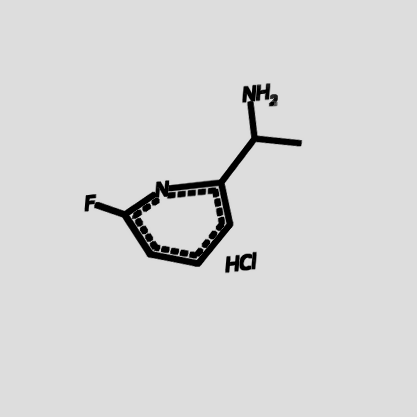 CC(N)c1cccc(F)n1.Cl